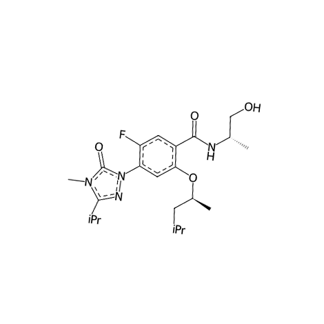 CC(C)C[C@H](C)Oc1cc(-n2nc(C(C)C)n(C)c2=O)c(F)cc1C(=O)N[C@@H](C)CO